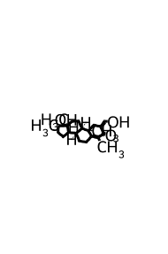 CC1=C2CC[C@@H]3[C@@H](CC[C@@]4(C)[C@H]3CCC4(C)O)[C@@]2(C)CC(=CO)C1=O